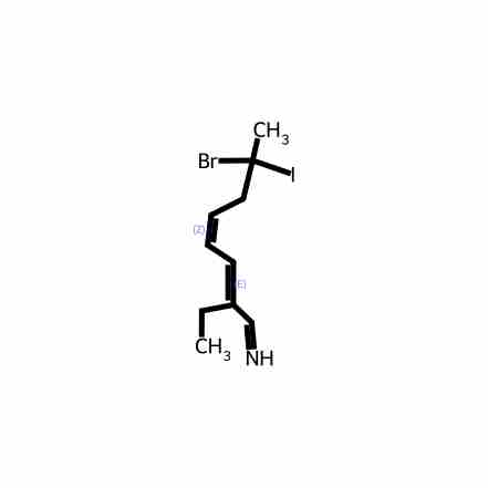 CC/C(C=N)=C\C=C/CC(C)(Br)I